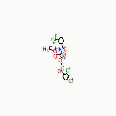 CCOC(=O)c1c(OCCOC(=O)c2ccc(Cl)cc2Cl)noc1NC(=O)c1cccc(C(F)(F)F)c1